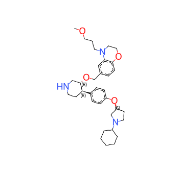 COCCCN1CCOc2ccc(CO[C@H]3CNCC[C@@H]3c3ccc(O[C@H]4CCN(C5CCCCC5)C4)cc3)cc21